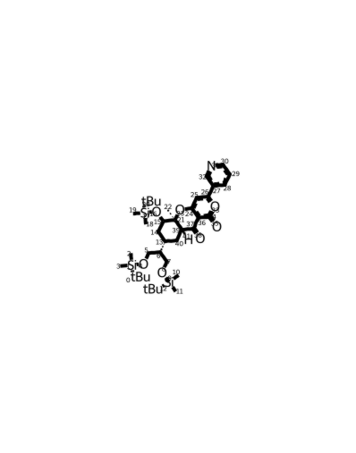 CC(C)(C)[Si](C)(C)OCC(CO[Si](C)(C)C(C)(C)C)[C@@H]1CC(O[Si](C)(C)C(C)(C)C)[C@@]2(C)Oc3cc(-c4cccnc4)oc(=O)c3C(=O)[C@@H]2C1